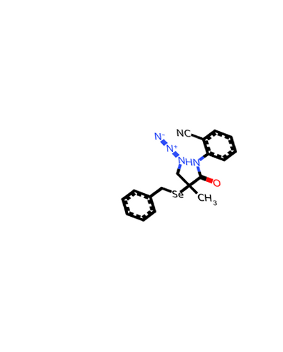 CC(CN=[N+]=[N-])([Se]Cc1ccccc1)C(=O)Nc1ccccc1C#N